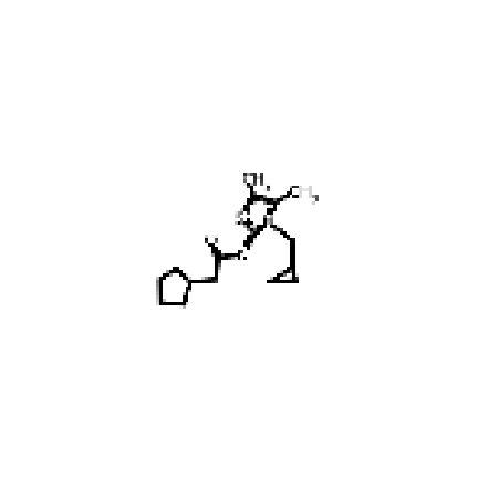 Cc1s/c(=N\C(=O)CC2CCCC2)n(CC2CC2)c1C